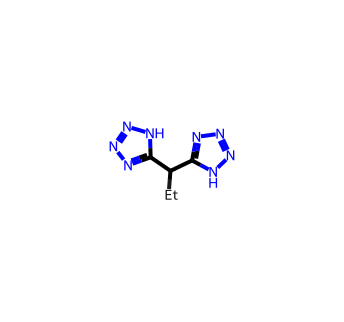 CCC(c1nnn[nH]1)c1nnn[nH]1